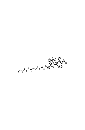 CCCCCCCCCCCCCCOC1=CC(CC=O)C(C(=O)O)(N(C)CC(=O)OCC)O1